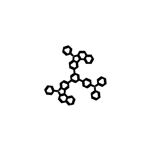 c1ccc(N(c2ccccc2)c2ccc(-c3cc(-c4ccc5c(c4)c4c6ccccc6ccc4n5-c4ccccc4)cc(-c4ccc5c(c4)c4c6ccccc6ccc4n5-c4ccccc4)c3)cc2)cc1